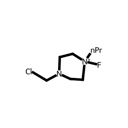 CCC[N+]1(F)CCN(CCl)CC1